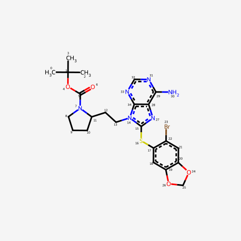 CC(C)(C)OC(=O)N1CCCC1CCn1c(Sc2cc3c(cc2Br)OCO3)nc2c(N)ncnc21